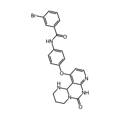 O=C(Nc1ccc(Oc2ccnc3c2C2NCCCN2C(=O)N3)cc1)c1cccc(Br)c1